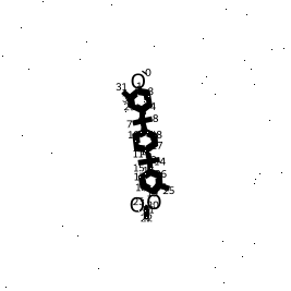 COc1ccc(C(C)(C)c2ccc(C(C)(C)c3ccc(OC(C)=O)c(C)c3)cc2)cc1C